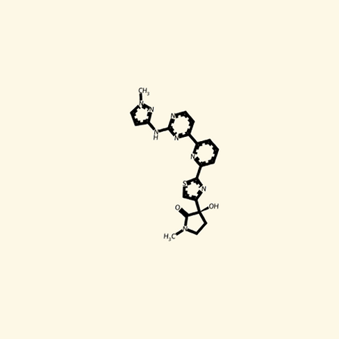 CN1CC[C@@](O)(c2csc(-c3cccc(-c4ccnc(Nc5ccn(C)n5)n4)n3)n2)C1=O